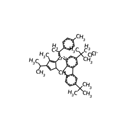 CC1=[C](/[Zr+2](=[C](\C)c2ccc(C)cc2)[c]2cc(C(C)(C)C)cc3c2Cc2ccc(C(C)(C)C)cc2-3)C(C)C=C1C(C)C.[Cl-].[Cl-]